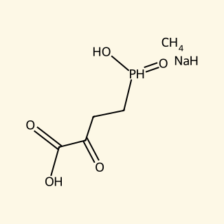 C.O=C(O)C(=O)CC[PH](=O)O.[NaH]